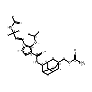 CC(=O)NC(C)(C)/C=C/n1ncc(C(=O)NC2C3CC4CC2CC(COC(N)=O)(C4)C3)c1OC(C)C